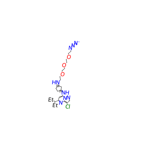 CCC(CC)c1cc(N[C@H]2CC[C@H](NCCOCCOCCOCCN=[N+]=[N-])C2)n2ncc(Cl)c2n1